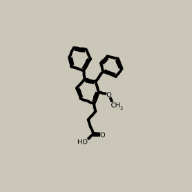 COc1c(CCC(=O)O)ccc(-c2ccccc2)c1-c1ccccc1